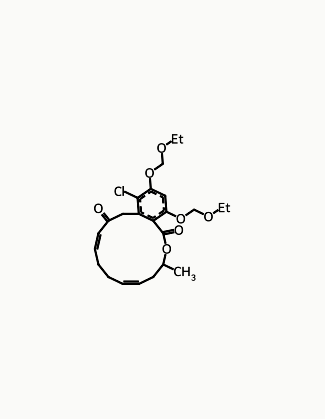 CCOCOc1cc(OCOCC)c2c(c1Cl)CC(=O)/C=C\CC/C=C\CC(C)OC2=O